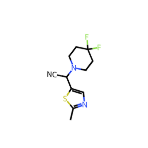 Cc1ncc(C(C#N)N2CCC(F)(F)CC2)s1